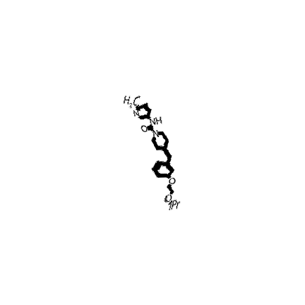 Cc1ccc(NC(=O)N2CCC(=Cc3cccc(OCCOC(C)C)c3)CC2)cn1